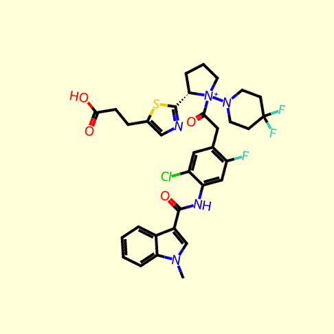 Cn1cc(C(=O)Nc2cc(F)c(CC(=O)[N+]3(N4CCC(F)(F)CC4)CCC[C@H]3c3ncc(CCC(=O)O)s3)cc2Cl)c2ccccc21